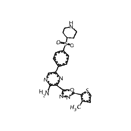 Cc1ccsc1-c1nnc(-c2nc(-c3ccc(S(=O)(=O)C4CCNCC4)cc3)cnc2N)o1